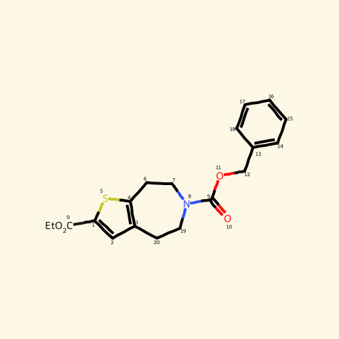 CCOC(=O)c1cc2c(s1)CCN(C(=O)OCc1ccccc1)CC2